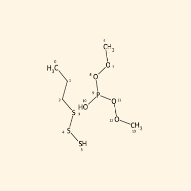 CCCSSS.COOP(O)OOC